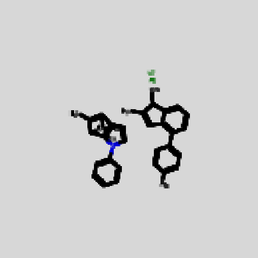 CC1=Cc2c(-c3ccc(C(C)(C)C)cc3)cccc2[CH]1[Zr+2].CC1=[C]2c3ccn(-c4ccccc4)c3[CH]1[Ge]2([CH3])[CH3].[Cl-].[Cl-]